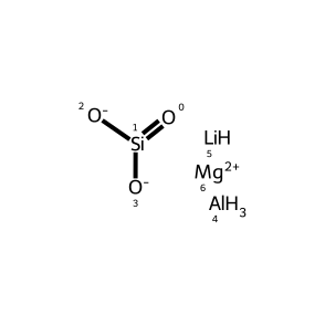 O=[Si]([O-])[O-].[AlH3].[LiH].[Mg+2]